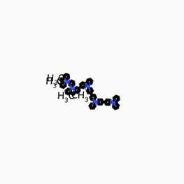 CC1(C)c2ccccc2N(c2cccc(N3c4ccccc4C(C)(C)c4ccc(-c5ccc6c7ccccc7n(-c7ccc(-c8ccc(N(c9ccccc9)c9ccc(-c%10ccc(-n%11c%12ccccc%12c%12ccccc%12%11)cc%10)cc9)cc8)cc7)c6c5)cc43)c2)c2ccccc21